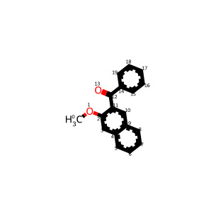 COc1cc2ccccc2cc1C(=O)c1ccccc1